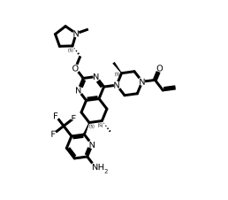 C=CC(=O)N1CCN(c2nc(OC[C@@H]3CCCN3C)nc3c2C[C@H](C)[C@@H](c2nc(N)ccc2C(F)(F)F)C3)[C@@H](C)C1